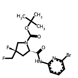 CC(C)(C)OC(=O)N1C[C@@](F)(CF)C[C@H]1C(=O)Nc1cccc(Br)n1